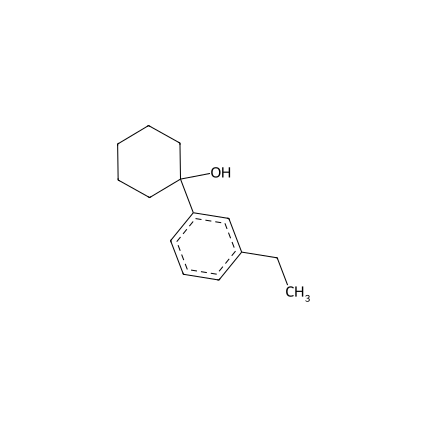 CCc1cccc(C2(O)CCCCC2)c1